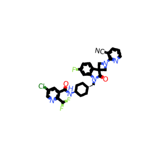 N#Cc1cccnc1N1CC2(C1)C(=O)N(C[C@H]1CC[C@H](NC(=O)c3cc(Cl)cnc3C(F)F)CC1)c1cc(F)ccc12